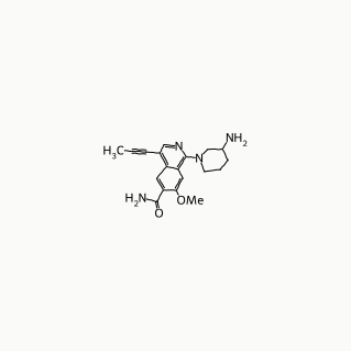 CC#Cc1cnc(N2CCCC(N)C2)c2cc(OC)c(C(N)=O)cc12